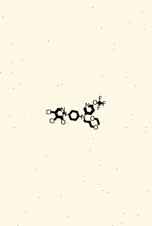 O=c1c(Cl)c(Cl)cnn1[C@H]1CC[C@H](N(CC2COCCO2)c2ccc(OC(F)(F)F)nc2)CC1